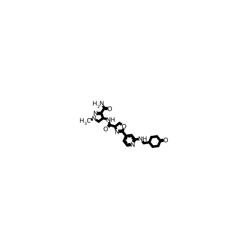 CN1CC(NC(=O)C2COC(c3ccnc(NCC4CCC(=O)CC4)c3)=N2)C(C(N)=O)=N1